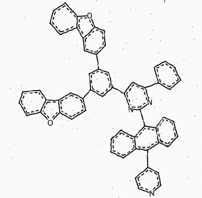 c1ccc(-c2cc(-c3cc(-c4ccc5oc6ccccc6c5c4)cc(-c4ccc5oc6ccccc6c5c4)c3)nc(-c3c4ccccc4c(-c4ccncc4)c4ccccc34)n2)cc1